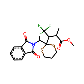 COC(=O)C(C)C(C(F)(F)F)C1(C(C)N2C(=O)c3ccccc3C2=O)SCCCS1